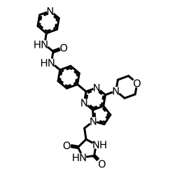 O=C(Nc1ccncc1)Nc1ccc(-c2nc(N3CCOCC3)c3ccn(CC4NC(=O)NC4=O)c3n2)cc1